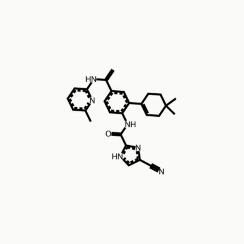 C=C(Nc1cccc(C)n1)c1ccc(NC(=O)c2nc(C#N)c[nH]2)c(C2=CCC(C)(C)CC2)c1